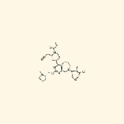 C=CC(=O)N1CCN(c2nc(OC[C@@H]3CCCN3C)nc3c2CCCN(c2cncc(Cl)c2C)C3)CC1CC#N